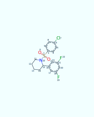 O=S(=O)(c1ccc(Cl)cc1)N1CCCCC1c1cc(F)cc(F)c1